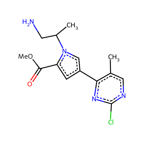 COC(=O)c1cc(-c2nc(Cl)ncc2C)cn1C(C)CN